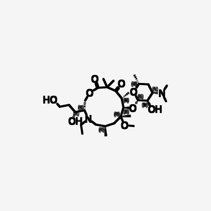 CCN1C[C@H](C)C[C@@](C)(OC)[C@H](O[C@@H]2O[C@H](C)C[C@H](N(C)C)[C@H]2O)[C@@H](C)C(=O)C(C)(C)C(=O)OC[C@H]1[C@H](O)CCO